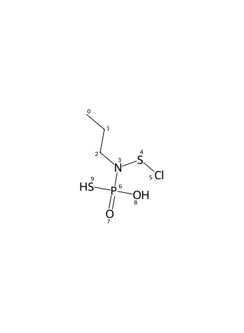 CCCN(SCl)P(=O)(O)S